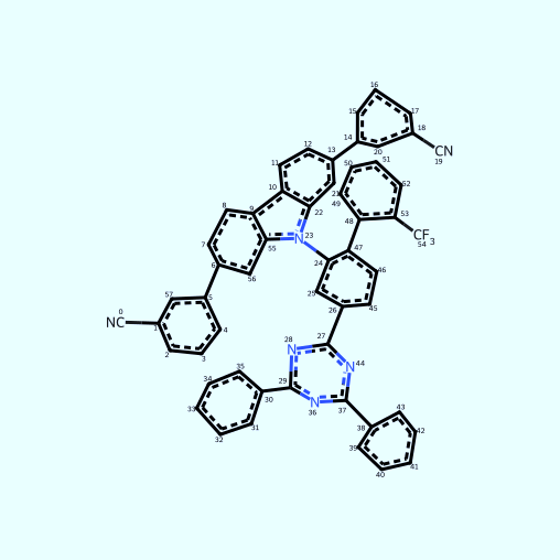 N#Cc1cccc(-c2ccc3c4ccc(-c5cccc(C#N)c5)cc4n(-c4cc(-c5nc(-c6ccccc6)nc(-c6ccccc6)n5)ccc4-c4ccccc4C(F)(F)F)c3c2)c1